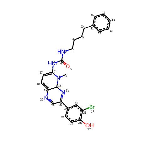 CN1C(NC(=O)NCCCCc2ccccc2)=CC=C2N=CC(c3ccc(O)c(Br)c3)=NC21